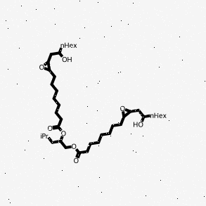 CCCCCCC(O)CC1OC1CCCCCCCC(=O)OCC(CC(C)C)OC(=O)CCCCCCCC1OC1CC(O)CCCCCC